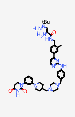 Cc1cc(-c2ccnc(Nc3ccc(CN4CCN(CC5CCN(c6cccc(N7CCC(=O)NC7=O)c6)CC5)CC4)cc3)n2)ccc1CNC(=O)/C(N)=C/N(N)C(C)(C)C